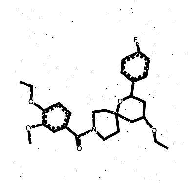 CCOc1ccc(C(=O)N2CCC3(CC2)CC(OCC)CC(c2ccc(F)cc2)O3)cc1OC